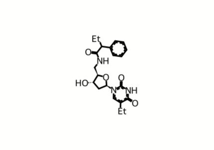 CCc1cn([C@H]2C[C@H](O)[C@@H](CNC(=O)C(CC)c3ccccc3)O2)c(=O)[nH]c1=O